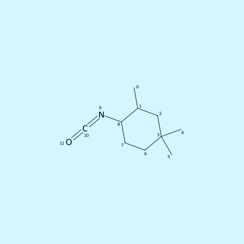 CC1CC(C)(C)CCC1N=C=O